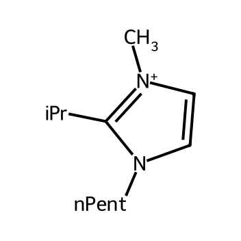 CCCCCn1cc[n+](C)c1C(C)C